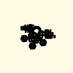 C[C@@H]1C=CC[C@@H](CO[Si](C)(C)C(C)(C)C)S[C@H]2O[C@H]([C@@H]1N[S@+]([O-])C(C)(C)C)[C@H](OC(=O)c1ccccc1)[C@H](OC(=O)c1ccccc1)[C@H]2OC(=O)c1ccccc1